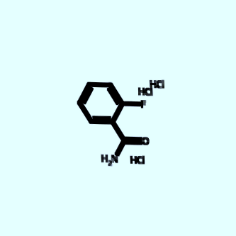 Cl.Cl.Cl.NC(=O)c1ccccc1F